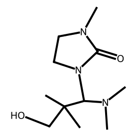 CN1CCN(C(N(C)C)C(C)(C)CO)C1=O